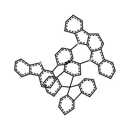 c1ccc2c(c1)-c1ccccc1C21c2ccccc2-c2ccc(-n3c4ccccc4c4ccc5c6ccccc6n(-c6ccc(-c7cccc8c7sc7ccccc78)cc6)c5c43)cc21